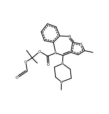 Cc1cc2c(s1)=Nc1ccccc1N(C(=O)OC(C)(C)OC=O)C=2N1CCN(C)CC1